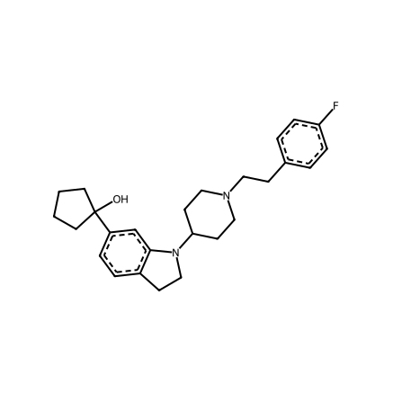 OC1(c2ccc3c(c2)N(C2CCN(CCc4ccc(F)cc4)CC2)CC3)CCCC1